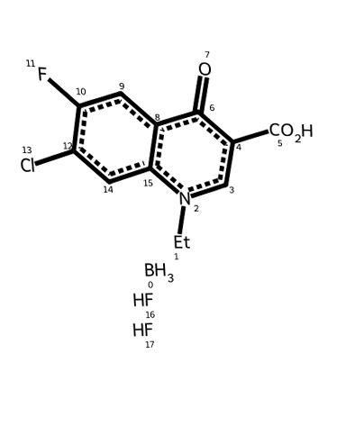 B.CCn1cc(C(=O)O)c(=O)c2cc(F)c(Cl)cc21.F.F